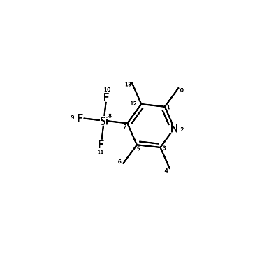 Cc1nc(C)c(C)c([Si](F)(F)F)c1C